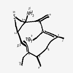 C=C1/C(CCC)=C(\C)CC(C)/C(C)=C\C2SC12N